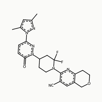 Cc1cc(C)n(-c2ccc(=O)n(C3CCN(c4nc5c(cc4C#N)COCC5)C(F)(F)C3)n2)n1